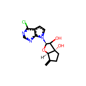 C=C1CC[C@]2(O)C(O)[C@H](n3ccc4c(Cl)ncnc43)O[C@H]12